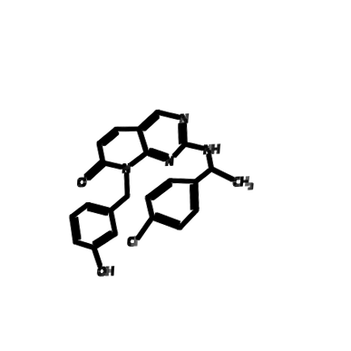 CC(Nc1ncc2ccc(=O)n(Cc3cccc(O)c3)c2n1)c1ccc(Cl)cc1